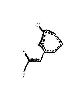 [O]c1cccc(C=C(F)F)c1